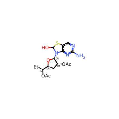 CC[C@H](OC(C)=O)[C@@H]1C[C@@H](OC(C)=O)[C@H](N2c3nc(N)ncc3SC2O)O1